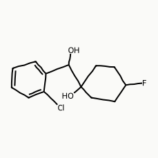 OC(c1ccccc1Cl)C1(O)CCC(F)CC1